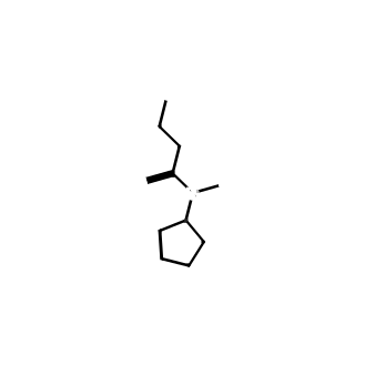 C=C(CCC)N(C)C1CCCC1